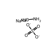 NO.O=S(=O)([O-])[O-].[Na+].[Na+]